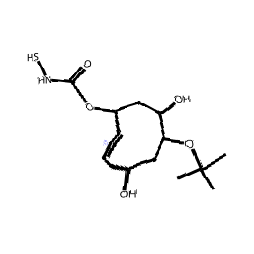 CC(C)(C)OC1CC(O)/C=C/C(OC(=O)NS)CC1O